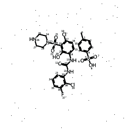 Cc1ccc(S(=O)(=O)O)cc1.O=C(Nc1ccc(Cl)c(S(=O)(=O)N2CCNCC2)c1O)Nc1cccc(F)c1Cl